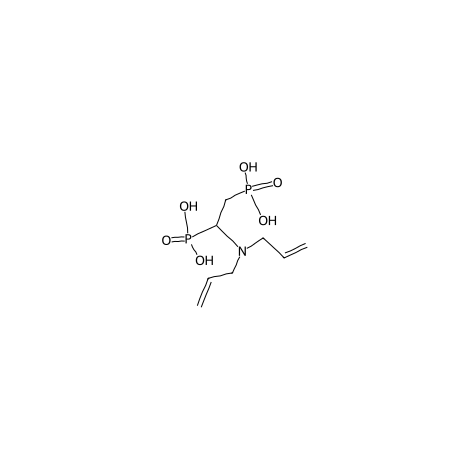 C=CCN(CC=C)C(CP(=O)(O)O)P(=O)(O)O